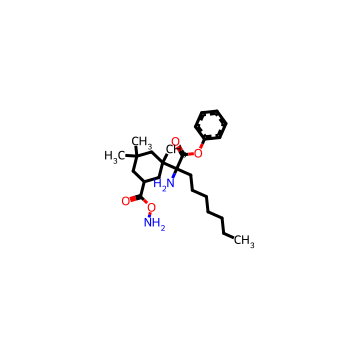 CCCCCCCC(N)(C(=O)Oc1ccccc1)C1(C)CC(C(=O)ON)CC(C)(C)C1